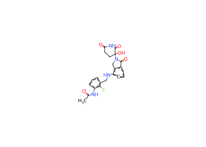 CC(=O)Nc1cccc(CNc2cccc3c2CN(C2(O)CCC(=O)NC2=O)C3=O)c1F